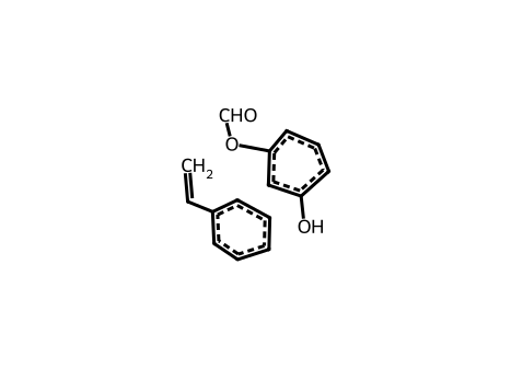 C=Cc1ccccc1.O=COc1cccc(O)c1